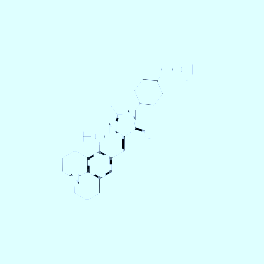 CC1=N/C(=C\c2cc3c4c(c2O)CCCN4CCC3)C(=O)N1C1CCC(C(=O)O)CC1